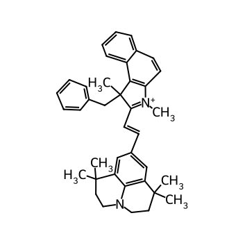 C[N+]1=C(/C=C/c2cc3c4c(c2)C(C)(C)CCN4CCC3(C)C)C(C)(Cc2ccccc2)c2c1ccc1ccccc21